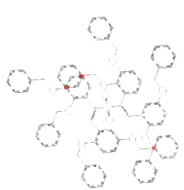 O=S(=O)(C(=Cc1cc(OCc2ccccc2)ccc1OCc1ccccc1)c1cccc(OCc2ccccc2)c1OCc1ccccc1)C(=Cc1cc(OCc2ccccc2)ccc1OCc1ccccc1)c1cccc(OCc2ccccc2)c1OCc1ccccc1